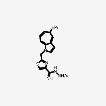 CCCC1C=CC=c2c(ccn2Cc2nc(C(=N)NNC(C)=O)cs2)=C1